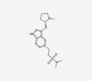 CN1CCC[C@@H]1Cc1c[nH]c2ccc(CCS(=O)(=O)N(C)C)cc12